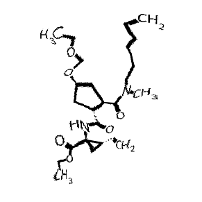 C=CCCCCN(C)C(=O)[C@@H]1C[C@H](OCOCC)C[C@H]1C(=O)N[C@]1(C(=O)OCC)C[C@H]1C=C